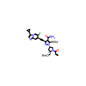 C=CC(=O)N1C[C@@H](n2nc(C#Cc3cc4ncc(C5CC5)n4cc3F)c(C(N)=O)c2NC)C[C@@H]1COC